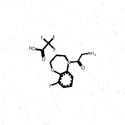 NCC(=O)N1CCCOc2c(F)cccc21.O=C(O)C(F)(F)F